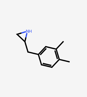 Cc1ccc(CC2CN2)cc1C